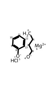 CCCC[O-].Cl.[Mg+2].[O-]c1ccccc1